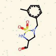 Cc1cccc(CN2CC(C=O)NS2(=O)=O)c1